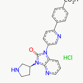 Cl.O=C(O)c1ccc(-c2ccc(-n3c(=O)n([C@H]4CCNC4)c4ncccc43)cn2)cc1